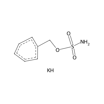 NS(=O)(=O)OCc1ccccc1.[KH]